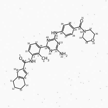 Cc1c(NC(=O)c2cc3c(s2)CCCC3)cccc1-c1nc(N)nc(Nc2ccc(C(=O)N3CCOCC3)cc2)n1